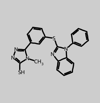 Cn1c(S)nnc1-c1cccc(Sc2nc3ccccc3n2-c2ccccc2)c1